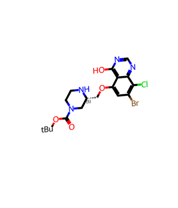 CC(C)(C)OC(=O)N1CCN[C@H](COc2cc(Br)c(Cl)c3ncnc(O)c23)C1